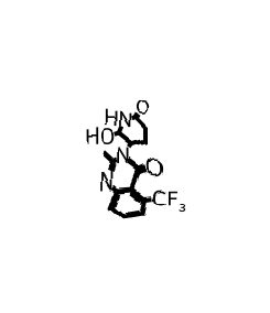 Cc1nc2cccc(C(F)(F)F)c2c(=O)n1C1CCC(=O)NC1O